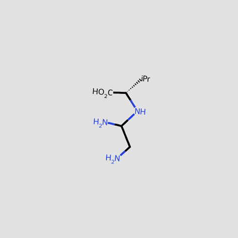 CC(C)[C@H](NC(N)CN)C(=O)O